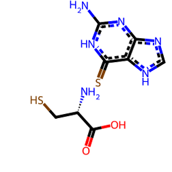 N[C@@H](CS)C(=O)O.Nc1nc2nc[nH]c2c(=S)[nH]1